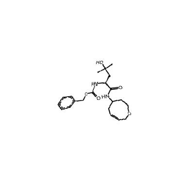 CC(C)(O)C[C@H](NC(=O)OCc1ccccc1)C(=O)NC1CC=CCOCC1